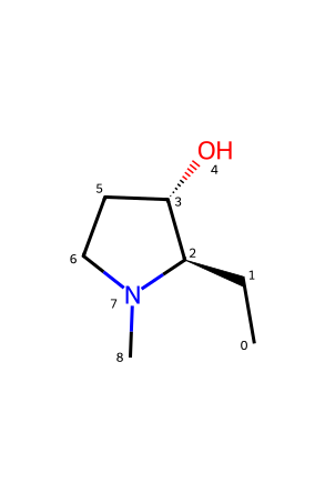 CC[C@@H]1[C@@H](O)CCN1C